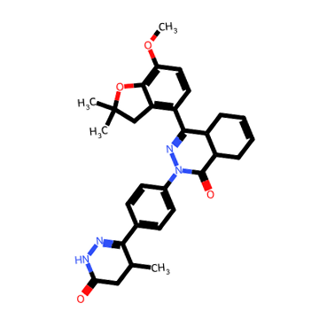 COc1ccc(C2=NN(c3ccc(C4=NNC(=O)CC4C)cc3)C(=O)C3CC=CCC23)c2c1OC(C)(C)C2